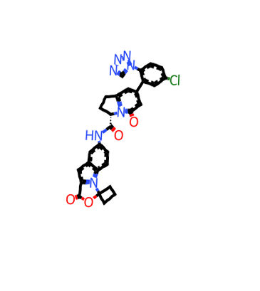 O=C1OC2(CCC2)n2c1cc1cc(NC(=O)[C@@H]3CCc4cc(-c5cc(Cl)ccc5-n5cnnn5)cc(=O)n43)ccc12